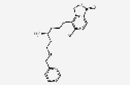 C=C(CCOCc1ccccc1)CCOc1c(Br)ccc2c1COC2=O